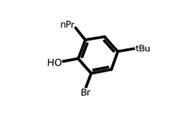 CCCc1cc(C(C)(C)C)cc(Br)c1O